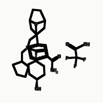 NC(=O)c1cccc(C2CC3CCC(C2)N3CCN(CC2CCCC2)C(=O)[C@H]2CC[C@H](O)CC2)c1.O=C(O)C(F)(F)F